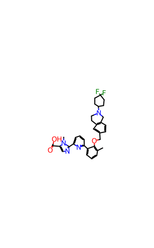 Cc1cccc(-c2cccc(-c3ncc(C(=O)O)n3C)n2)c1OCc1ccc2c(c1)CCN(C1CCC(F)(F)CC1)C2